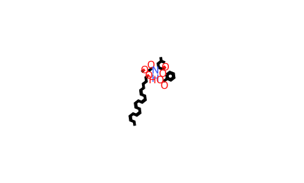 CC/C=C\C/C=C\C/C=C\C/C=C\C/C=C\CCCCOC(OC)C(=O)NC(CC(C)C)C(=O)Oc1ccccc1C(=O)O